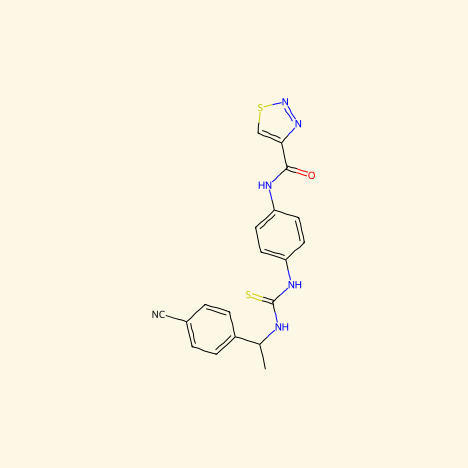 CC(NC(=S)Nc1ccc(NC(=O)c2csnn2)cc1)c1ccc(C#N)cc1